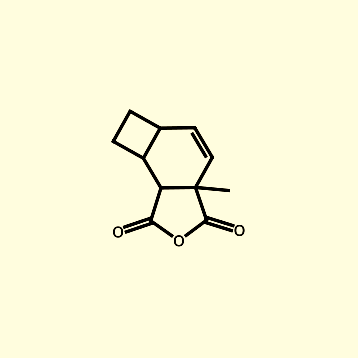 CC12C=CC3CCC3C1C(=O)OC2=O